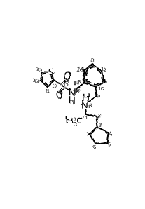 C[C@@H](CC1CCCC1)NCc1ccccc1NS(=O)(=O)c1cccs1